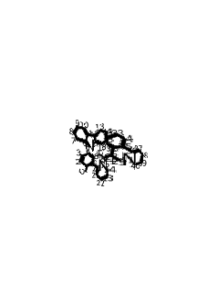 Cc1ccc(-n2c3ccccc3c3ccccc32)cc1-c1cccc[n+]1[C@@H](C)C(C)c1ccccc1-c1ccccn1